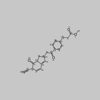 COC(=O)CSc1ccc(C(=O)CN2C=C3C=CC(C#N)C(=O)C3C2)cc1